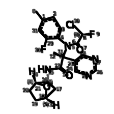 Cc1ccc(N(C(=O)[C@H](F)Cl)[C@@](C)(C(=O)N[C@@H]2C[C@@H]3CC[C@H]2O3)c2cncnc2)c(F)c1